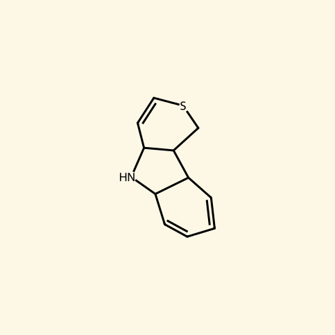 C1=CC2NC3C=CSCC3C2C=C1